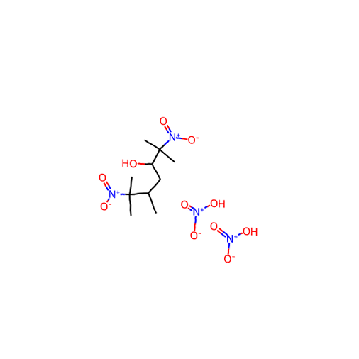 CC(CC(O)C(C)(C)[N+](=O)[O-])C(C)(C)[N+](=O)[O-].O=[N+]([O-])O.O=[N+]([O-])O